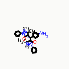 Cc1c(/C(=C2\C(=O)N(c3ccccc3)N(C)C2C)c2ccc(N)cc2)c(=O)n(-c2ccccc2)n1C